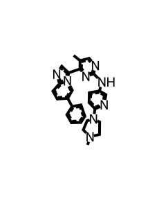 Cc1cnc(Nc2ccc(N3CCN(C)CC3)nc2)nc1-c1cnc2ccc(-c3ccccc3)cn12